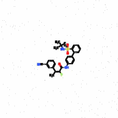 CC(=C(F)C(=O)Nc1ccc(-c2ccccc2S(=O)(=O)NC(C)(C)C)cc1)c1cccc(C#N)c1